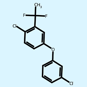 CC(F)(F)c1cc(Oc2cccc(Cl)c2)ccc1Cl